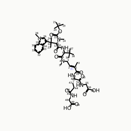 C/C(=C\CN(C)C(=O)C(NC(=O)[C@@H](N(C)C(=O)OC(C)(C)C)C(C)(C)c1cn(C)c2ccccc12)C(C)(C)C)C(=O)N[C@@H](CCC(=O)NCC(=O)O)C(=O)NCC(=O)O